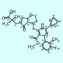 COC(=O)C1=C(CN2CCOC3CN(CC(C)(C)C(=O)O)C(=O)C32)NC(c2nccs2)=NC1c1cccc(F)c1C